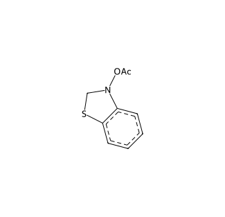 CC(=O)ON1CSc2ccccc21